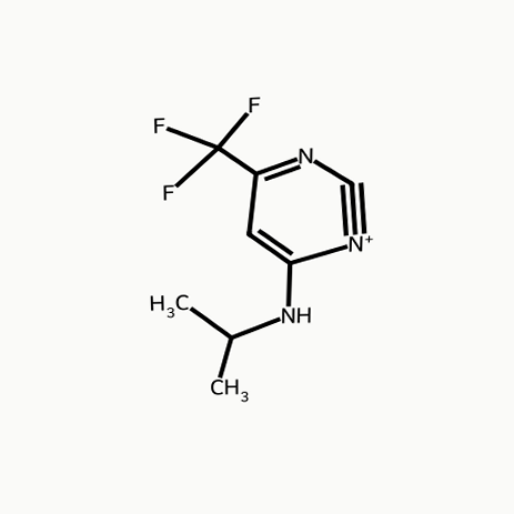 CC(C)Nc1cc(C(F)(F)F)nc#[n+]1